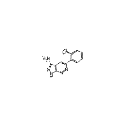 Nc1n[nH]c2nnc(-c3ccccc3Cl)cc12